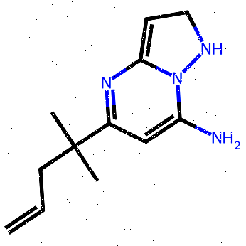 C=CCC(C)(C)C1=NC2=CCNN2C(N)=C1